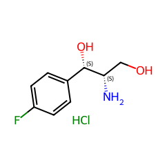 Cl.N[C@@H](CO)[C@@H](O)c1ccc(F)cc1